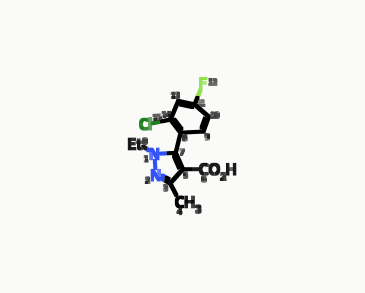 CCn1nc(C)c(C(=O)O)c1-c1ccc(F)cc1Cl